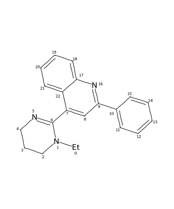 CCN1CCCN=C1c1cc(-c2ccccc2)nc2ccccc12